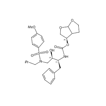 COc1ccc(S(=O)(=O)N(CC(C)C)C[C@@H](O)[C@H](Cc2ccccc2)NC(=O)O[C@H]2COC3OCCC32)cc1